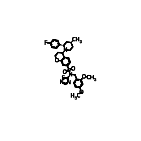 COc1ccc(CN(c2ncns2)S(=O)(=O)c2ccc3c(c2)OCC[C@H]3N2CC[C@@H](C)C[C@H]2c2ccc(F)cc2)c(OC)c1